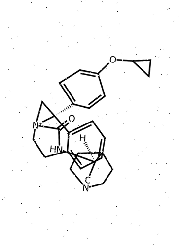 O=C(N[C@@H]1CN2CCC1CC2)[N+]12CCc3ccccc3[C@]1(c1ccc(OC3CC3)cc1)C2